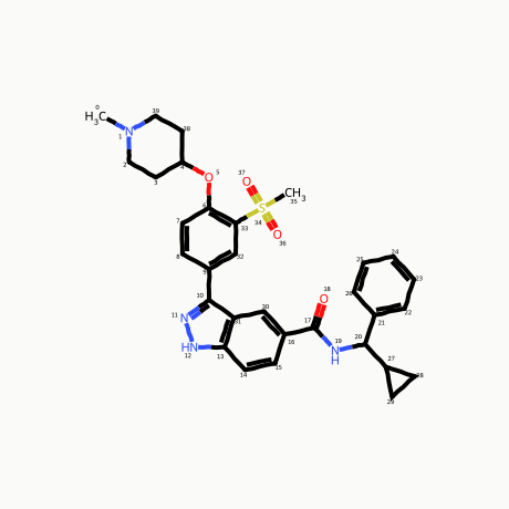 CN1CCC(Oc2ccc(-c3n[nH]c4ccc(C(=O)NC(c5ccccc5)C5CC5)cc34)cc2S(C)(=O)=O)CC1